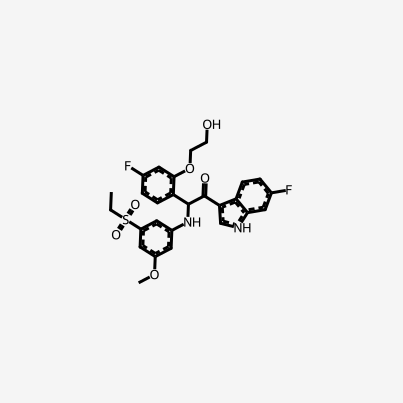 CCS(=O)(=O)c1cc(NC(C(=O)c2c[nH]c3cc(F)ccc23)c2ccc(F)cc2OCCO)cc(OC)c1